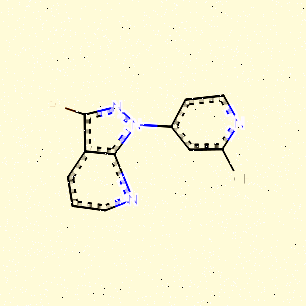 FC(F)(F)c1cc(-n2nc(Br)c3cccnc32)ccn1